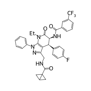 CCN1C(=O)[C@@H](NC(=O)c2cccc(C(F)(F)F)c2)[C@@H](c2ccc(F)cc2)c2c(CNC(=O)C34CC3C4)nn(-c3ccccc3)c21